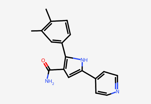 Cc1ccc(-c2[nH]c(-c3ccncc3)cc2C(N)=O)cc1C